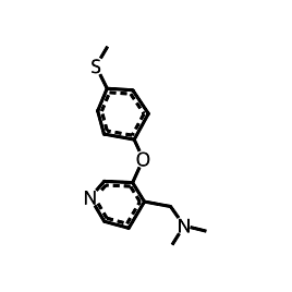 CSc1ccc(Oc2cnccc2CN(C)C)cc1